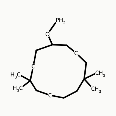 CC1(C)CCCCC(C)(C)CCC(OP)CCC1